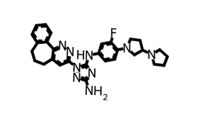 Nc1nc(Nc2ccc(N3CCC(N4CCCC4)C3)c(F)c2)n(-c2cc3c(nn2)-c2ccccc2CCC3)n1